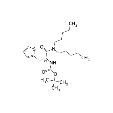 CCCCCN(CCCCC)C(=O)[C@@H](Cc1cccs1)NC(=O)OC(C)(C)C